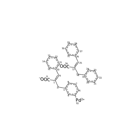 O=C([O-])C([CH]c1ccccc1)=Cc1ccccc1.O=C([O-])C([CH]c1ccccc1)=Cc1ccccc1.[Pd+2]